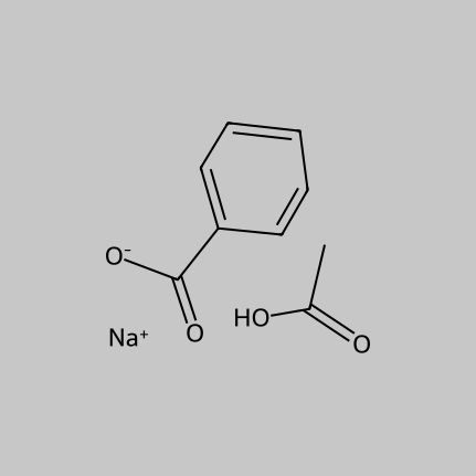 CC(=O)O.O=C([O-])c1ccccc1.[Na+]